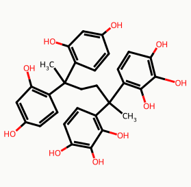 CC(CCC(C)(c1ccc(O)c(O)c1O)c1ccc(O)c(O)c1O)(c1ccc(O)cc1O)c1ccc(O)cc1O